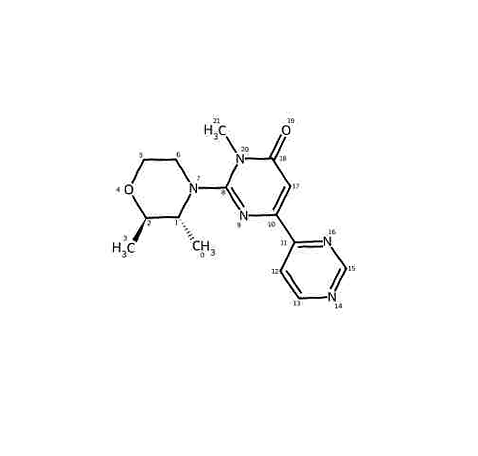 C[C@@H]1[C@@H](C)OCCN1c1nc(-c2ccncn2)cc(=O)n1C